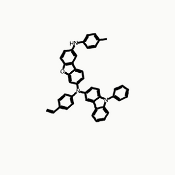 C=Cc1ccc(N(c2ccc3c(c2)oc2ccc(Nc4ccc(C)cc4)cc23)c2ccc3c(c2)c2ccccc2n3-c2ccccc2)cc1